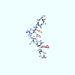 C[C@H]1Cn2ncc(C(=O)Nc3cccc(C#N)c3)c2C(=O)N1c1ccc(C(=O)c2cccc(O)c2)cc1